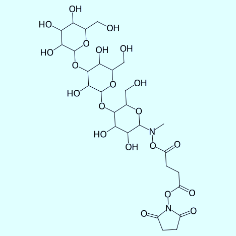 CN(OC(=O)CCC(=O)ON1C(=O)CCC1=O)C1OC(CO)C(OC2OC(CO)C(O)C(OC3OC(CO)C(O)C(O)C3O)C2O)C(O)C1O